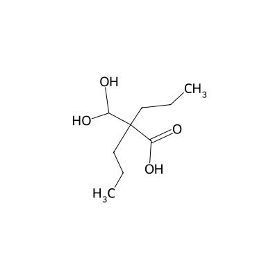 CCCC(CCC)(C(=O)O)C(O)O